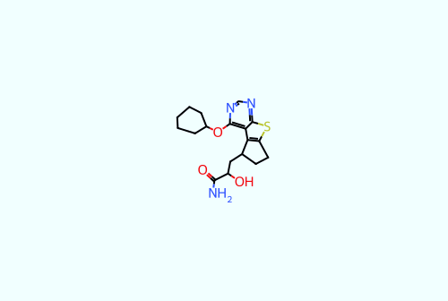 NC(=O)C(O)CC1CCc2sc3ncnc(OC4CCCCC4)c3c21